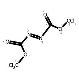 O=C(N=NC(=O)OC(Cl)(Cl)Cl)OC(Cl)(Cl)Cl